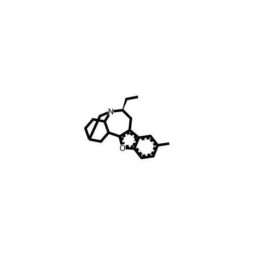 CC[C@H]1Cc2c(oc3ccc(C)cc23)C2CC3CCC2N1C3